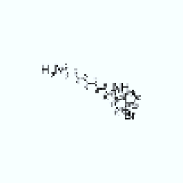 NCCCCCCCCCC[C@@H](N)c1ccc(Br)c2ccccc12